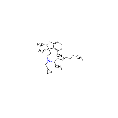 CCCCCCC(C)N(CCC1(C)c2c(C)cccc2C[C@H]1C)CC1CC1